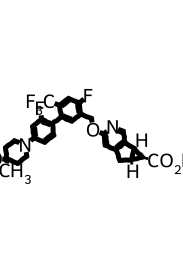 CC1(O)CCN(c2ccc(-c3cc(COc4cc5c(cn4)[C@H]4[C@@H](C5)[C@@H]4C(=O)O)c(F)cc3C(F)(F)F)c(F)c2)CC1